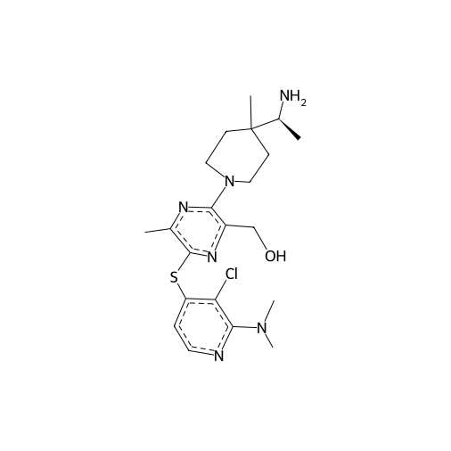 Cc1nc(N2CCC(C)([C@H](C)N)CC2)c(CO)nc1Sc1ccnc(N(C)C)c1Cl